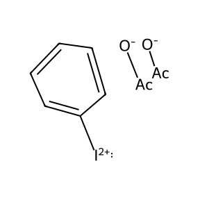 CC(=O)[O-].CC(=O)[O-].[I+2]c1ccccc1